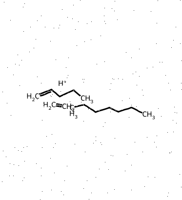 C=C.C=CCCC.CCCCCCC.[H+]